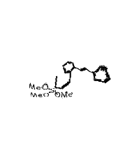 CO[Si](OC)(OC)C(C)/C=C\c1ccccc1/C=C/c1ccccc1